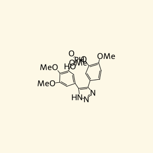 COc1ccc(-c2nn[nH]c2-c2cc(OC)c(OC)c(OC)c2)cc1O[PH](=O)O